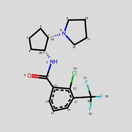 O=C(N[C@@H]1CCC[C@@H]1N1CCCC1)c1cccc(C(F)(F)F)c1Cl